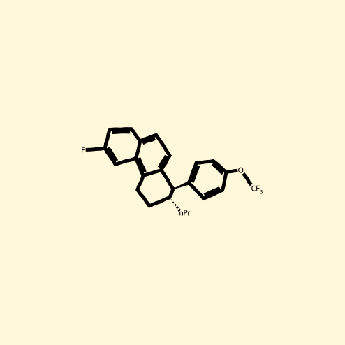 CCC[C@@H]1CCc2c(ccc3ccc(F)cc23)[C@H]1c1ccc(OC(F)(F)F)cc1